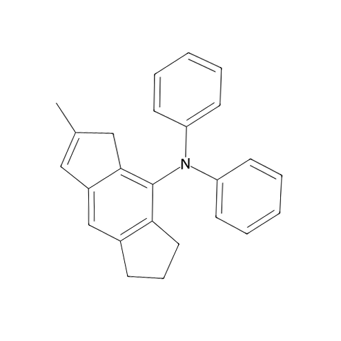 CC1=Cc2cc3c(c(N(c4ccccc4)c4ccccc4)c2C1)CCC3